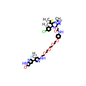 Cc1cc(NCCOCCOCCOCCOc2ccc(NC(=O)C[C@@H]3N=C(c4ccc(Cl)cc4)c4c(sc(C)c4C)-n4c(C)nnc43)cc2)ncc1-c1cc2c(nc1F)NC(=O)C2